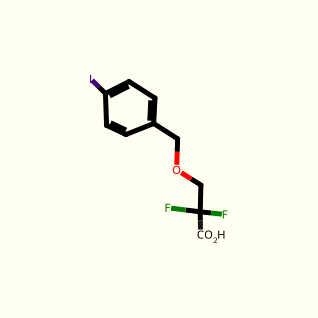 O=C(O)C(F)(F)COCc1ccc(I)cc1